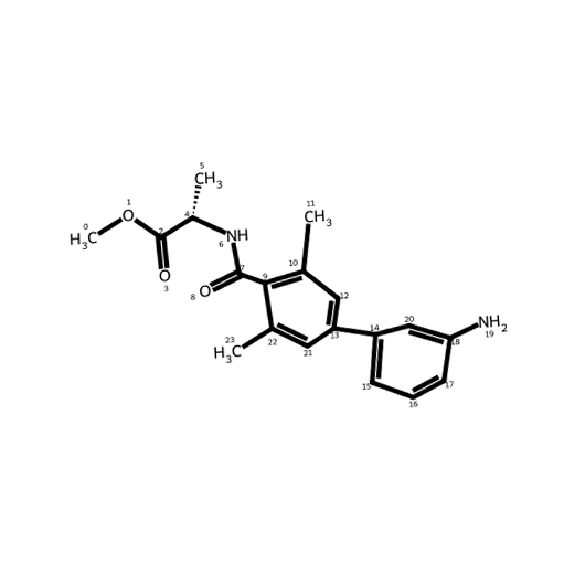 COC(=O)[C@H](C)NC(=O)c1c(C)cc(-c2cccc(N)c2)cc1C